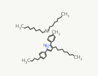 CCCCCCCCC1=C(c2ccc(C)cc2)[N+](=[N-])C(c2ccc(CCCC)cc2)=C1.CCCCCCC[CH2][Ni][CH2]CCCCCCC